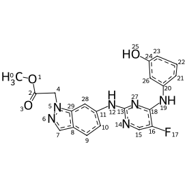 COC(=O)Cn1ncc2ccc(Nc3ncc(F)c(Nc4cccc(O)c4)n3)cc21